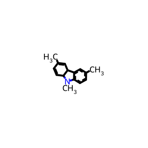 CC1=CC2c3cc(C)ccc3N(C)C2C=C1